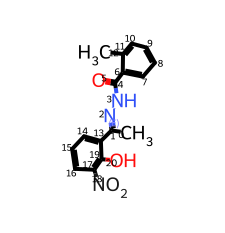 C/C(=N\NC(=O)c1ccccc1C)c1cccc([N+](=O)[O-])c1O